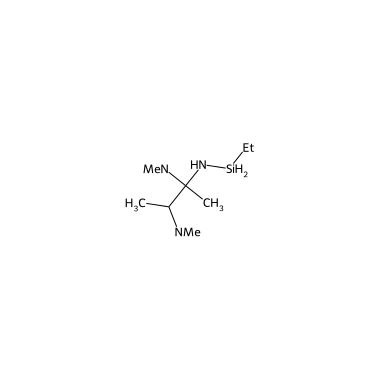 CC[SiH2]NC(C)(NC)C(C)NC